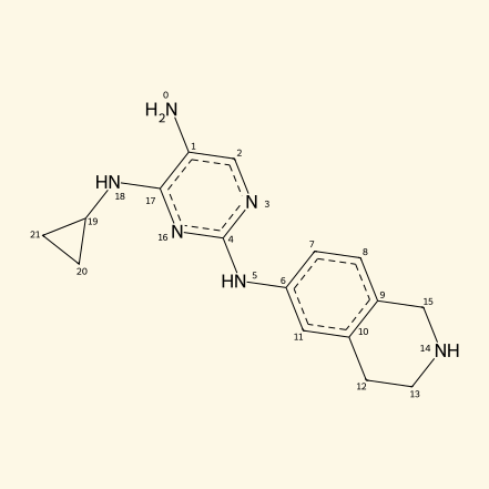 Nc1cnc(Nc2ccc3c(c2)CCNC3)nc1NC1CC1